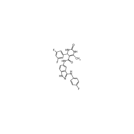 CC1=C(C(=O)Nc2ccc3[nH]nc(Nc4ccc(F)cc4)c3c2)C(c2cc(F)cc(F)c2)NC(=O)N1